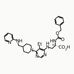 CCc1c(NC[C@H](NC(=O)OCc2ccccc2)C(=O)O)ncnc1N1CCC(CNc2ccccn2)CC1